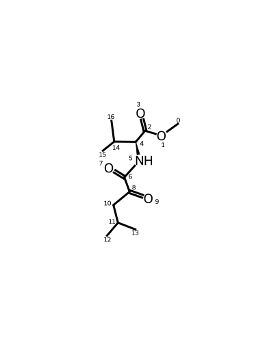 COC(=O)[C@@H](NC(=O)C(=O)CC(C)C)C(C)C